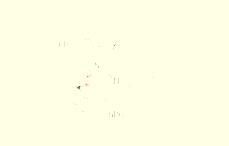 CCCCc1ccc(N2B3c4cc5c(cc4N(c4ccc(CCCC)cc4-c4ccccc4)c4c3c(cc3oc6ccccc6c43)-c3cc(-c4ccccc4)ccc32)sc2ccccc25)cc1